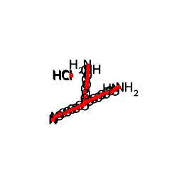 Cl.Cl.[N-]=[N+]=NCCOCCOCCOCCOCCOCCOCCC(=O)N(CCOCCOCCOCCOCCOCCOCCC(=O)NCCN)CCOCCOCCOCCOCCOCCOCCC(=O)NCCN